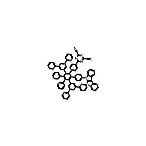 N#Cc1nc(C#N)nc(-c2ccc(-c3c(-c4ccc(-n5c6ccccc6c6c7ccccc7oc65)cc4)c(-c4cc(-c5ccccc5)cc(-c5ccccc5)c4)c(-c4ccccc4)c(-c4ccccc4)c3-c3cc(-c4ccccc4)cc(-c4ccccc4)c3)cc2)n1